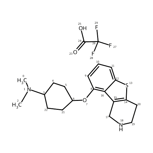 CN(C)C1CCC(Oc2cccc3sc4c(c23)CNCC4)CC1.O=C(O)C(F)(F)F